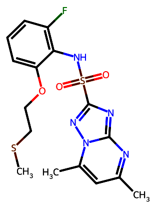 CSCCOc1cccc(F)c1NS(=O)(=O)c1nc2nc(C)cc(C)n2n1